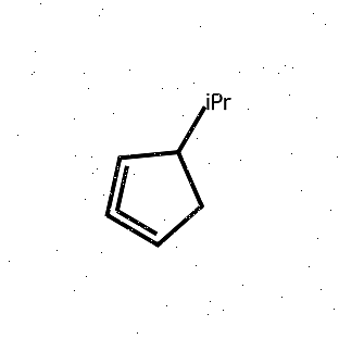 CC(C)C1C=C=CC1